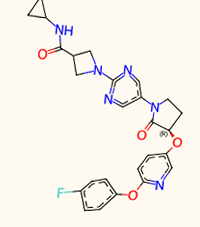 O=C(NC1CC1)C1CN(c2ncc(N3CC[C@@H](Oc4ccc(Oc5ccc(F)cc5)nc4)C3=O)cn2)C1